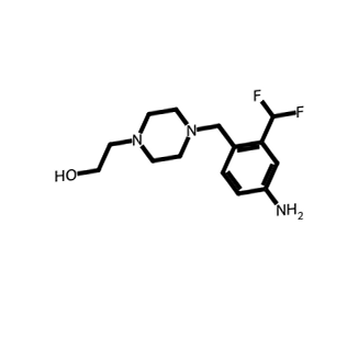 Nc1ccc(CN2CCN(CCO)CC2)c(C(F)F)c1